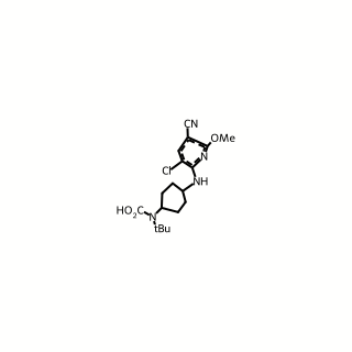 COc1nc(NC2CCC(N(C(=O)O)C(C)(C)C)CC2)c(Cl)cc1C#N